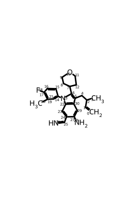 C=CC(C)Cc1c(C2CCOCC2)n(-c2ccc(F)c(C)c2)c2cc(C=N)c(N)cc12